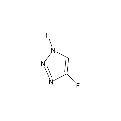 Fc1cn(F)nn1